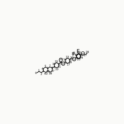 CCCC1CCC2CC(C3CCC(C(=O)OC4CCC(COc5ccc(OCC)c(F)c5F)CC4)CC3)CCC2C1